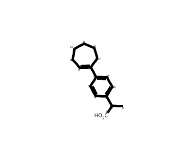 CC(C(=O)O)c1ccc(C2=CCCCCC2)cc1